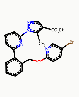 CCOC(=O)c1cnn(-c2cccc(-c3ccccc3COc3ccc(Br)cn3)n2)c1C(F)(F)F